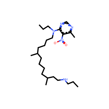 CCCNCCC(C)CCCCC(C)CCCCN(CCC)c1ncnc(C)c1[N+](=O)[O-]